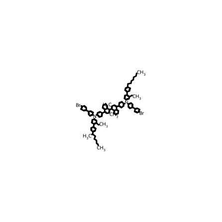 CCCCCCCCc1ccc(-c2ccc(N(c3ccc(-c4ccc(Br)cc4)cc3)c3ccc(-c4cc(C)c(-c5c(C)cc(-c6ccc(N(c7ccc(-c8ccc(Br)cc8)cc7)c7ccc(-c8ccc(C(C)CCCCCC)cc8)c(CC)c7)cc6)c6ccccc56)c5ccccc45)cc3)cc2CC)cc1